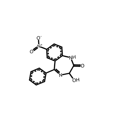 O=C1Nc2ccc([N+](=O)[O-])cc2C(c2ccccc2)=NC1O